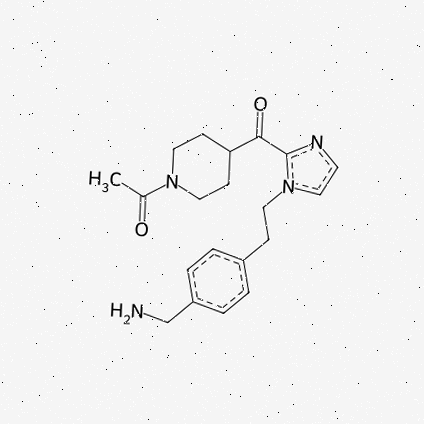 CC(=O)N1CCC(C(=O)c2nccn2CCc2ccc(CN)cc2)CC1